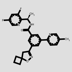 Cc1ccc(-c2cc(C(=O)N[C@H](C)c3ncc(F)cc3F)cc(C3=NOC4(CCC4)C3)c2)nc1